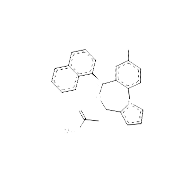 COC(=O)C[C@@H]1O[C@@H](c2cccc3ccccc23)c2cc(Cl)ccc2-n2cccc21